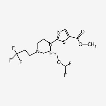 COC(=O)c1cnc(N2CCN(CCC(F)(F)F)C[C@H]2COC(F)F)s1